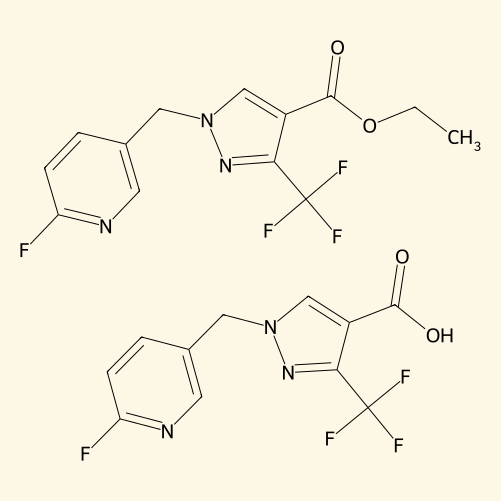 CCOC(=O)c1cn(Cc2ccc(F)nc2)nc1C(F)(F)F.O=C(O)c1cn(Cc2ccc(F)nc2)nc1C(F)(F)F